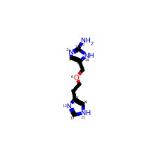 Nc1ncc(COCCc2c[nH]cn2)[nH]1